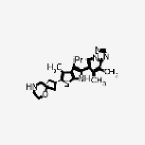 Cc1c(-c2[nH]c3sc([C@H]4C[C@]5(CNCCO5)C4)c(C)c3c2C(C)C)cn2ncnc2c1C